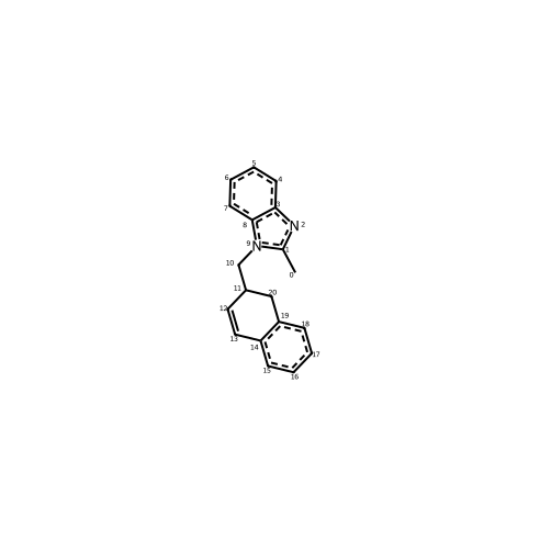 Cc1nc2ccccc2n1CC1C=Cc2ccccc2C1